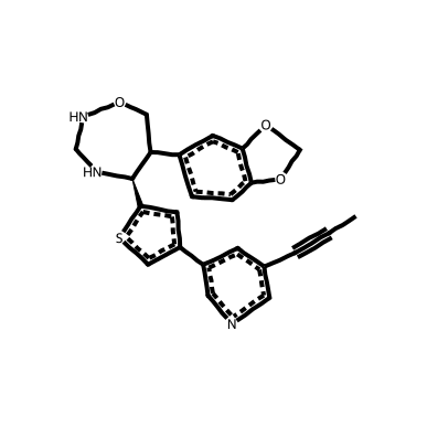 CC#Cc1cncc(-c2csc([C@H]3NCNOCC3c3ccc4c(c3)OCO4)c2)c1